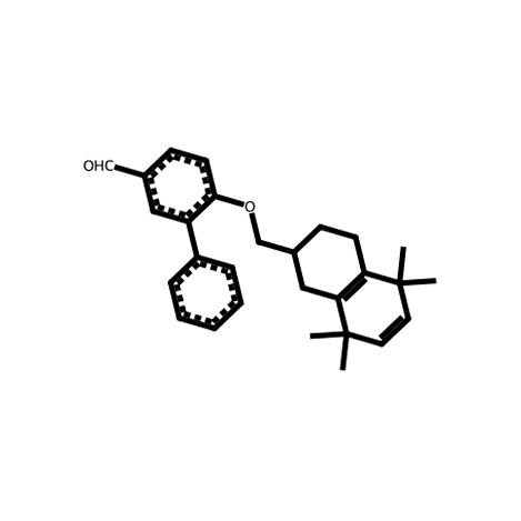 CC1(C)C=CC(C)(C)C2=C1CCC(COc1ccc(C=O)cc1-c1ccccc1)C2